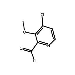 COc1c(Cl)ccnc1C(=O)Cl